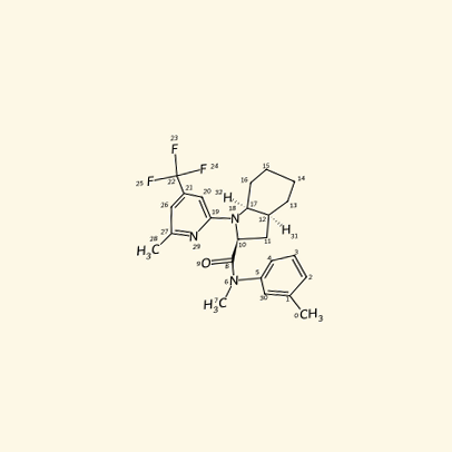 Cc1cccc(N(C)C(=O)[C@@H]2C[C@@H]3CCCC[C@@H]3N2c2cc(C(F)(F)F)cc(C)n2)c1